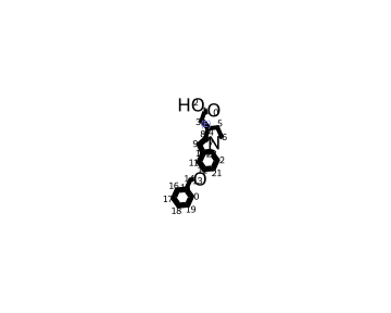 O=C(O)/C=C1\CCn2c1cc1cc(OCc3ccccc3)ccc12